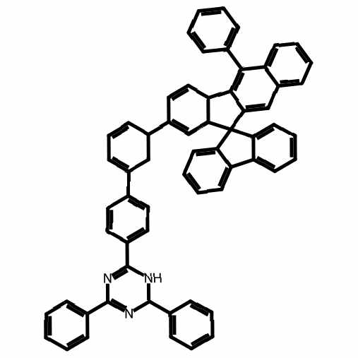 C1=CC(C2=CC3C(C=C2)c2c(cc4ccccc4c2-c2ccccc2)C32c3ccccc3-c3ccccc32)CC(c2ccc(C3=NC(c4ccccc4)=NC(c4ccccc4)N3)cc2)=C1